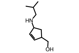 CC(C)CNC1C=CC(CO)C1